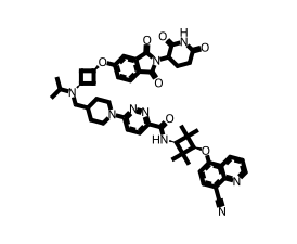 CC(C)N(CC1CCN(c2ccc(C(=O)N[C@H]3C(C)(C)[C@H](Oc4ccc(C#N)c5ncccc45)C3(C)C)nn2)CC1)[C@H]1C[C@H](Oc2ccc3c(c2)C(=O)N(C2CCC(=O)NC2=O)C3=O)C1